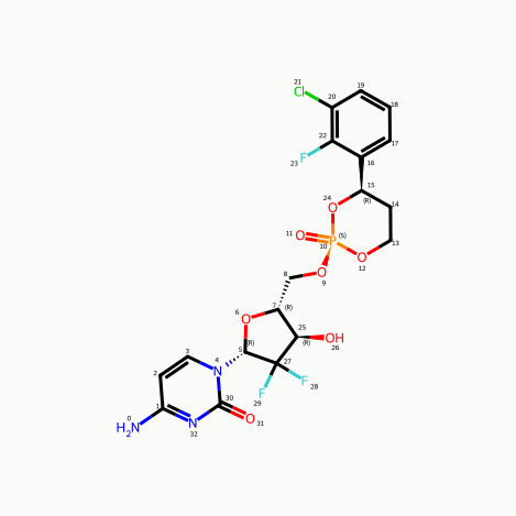 Nc1ccn([C@@H]2O[C@H](CO[P@]3(=O)OCC[C@H](c4cccc(Cl)c4F)O3)[C@@H](O)C2(F)F)c(=O)n1